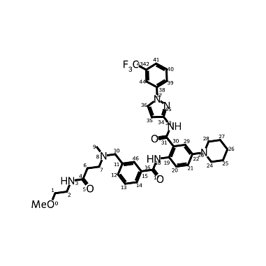 COCCNC(=O)CCN(C)Cc1cccc(C(=O)Nc2ccc(N3CCCCC3)cc2C(=O)Nc2ccn(-c3cccc(C(F)(F)F)c3)n2)c1